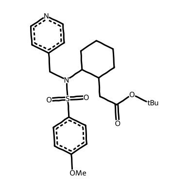 COc1ccc(S(=O)(=O)N(Cc2ccncc2)C2CCCCC2CC(=O)OC(C)(C)C)cc1